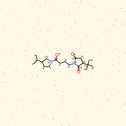 CC(C)C1CCN(C(=O)CCCN2C(=O)CC(C(C)(C)C)C2=O)C1